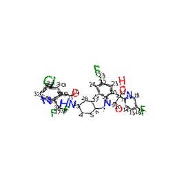 O=C(NC1CCC(CN2C(=O)C(O)(c3ccc(F)cn3)c3cc(F)ccc32)CC1)c1cc(Cl)cnc1C(F)F